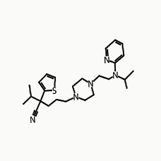 CC(C)N(CCN1CCN(CCCC(C#N)(c2cccs2)C(C)C)CC1)c1ccccn1